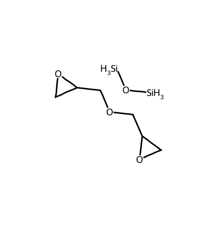 C(OCC1CO1)C1CO1.[SiH3]O[SiH3]